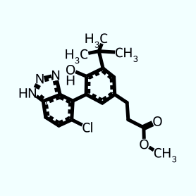 COC(=O)CCc1cc(-c2c(Cl)ccc3[nH]nnc23)c(O)c(C(C)(C)C)c1